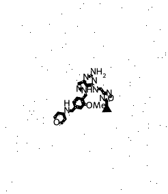 COc1cc(CNC2CCOCC2)ccc1Cn1ncc2nc(N)nc(NCc3noc(C4CC4)n3)c21